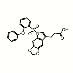 O=C(O)CCc1cn(S(=O)(=O)c2ccccc2Oc2ccccc2)c2cc3c(cc12)OCO3